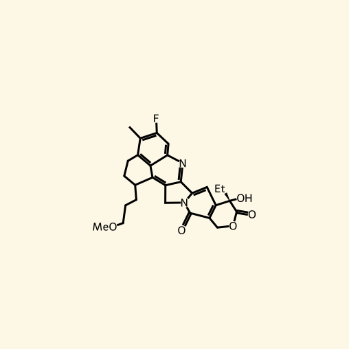 CC[C@@]1(O)C(=O)OCc2c1cc1n(c2=O)Cc2c-1nc1cc(F)c(C)c3c1c2C(CCCOC)CC3